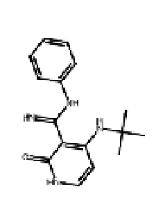 CC(C)(C)Nc1cc[nH]c(=O)c1C(=N)Nc1ccccc1